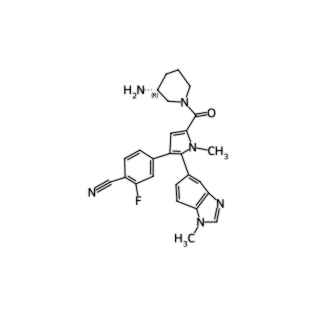 Cn1c(C(=O)N2CCC[C@@H](N)C2)cc(-c2ccc(C#N)c(F)c2)c1-c1ccc2c(c1)ncn2C